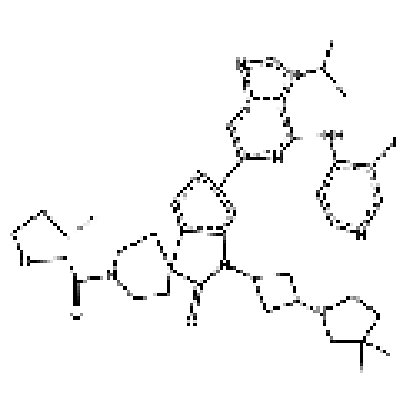 CC(C)n1cnc2cc(-c3ccc4c(c3)N(C3CC(N5CCC(C)(C)C5)C3)C(=O)C43CCN(C(=O)[C@@H]4OCC[C@@H]4C)CC3)nc(Nc3ccncc3F)c21